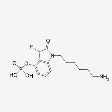 NCCCCCCN1C(=O)C(F)c2c(OP(=O)(O)O)cccc21